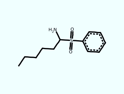 CCCCCC(N)S(=O)(=O)c1ccccc1